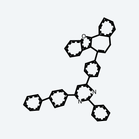 C1=C(c2ccc(-c3cc(-c4ccc(-c5ccccc5)cc4)nc(-c4ccccc4)n3)cc2)c2c(oc3ccccc23)-c2ccccc2C1